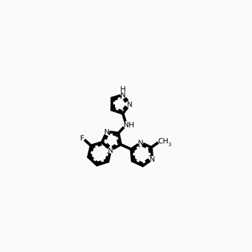 Cc1nccc(-c2c(Nc3cc[nH]n3)nc3c(F)cccn23)n1